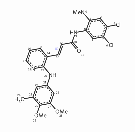 CNc1cc(Cl)c(Cl)cc1NC(=O)/C=C/c1cccnc1Nc1cc(C)c(OC)c(OC)c1